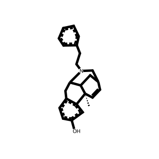 C[C@@]12C=CC3CC1C(Cc1ccc(O)cc12)N(CCc1ccccc1)C3